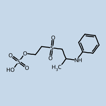 CC(CS(=O)(=O)CCOS(=O)(=O)O)Nc1ccccc1